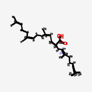 CC(C)=CCCC(C)=CCCC(C)=CCC(C/C=C(\C)CCC=C(C)C)C(=O)O